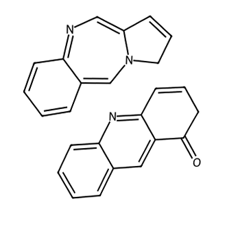 C1=CC2=CN=c3ccccc3=CN2C1.O=C1CC=Cc2nc3ccccc3cc21